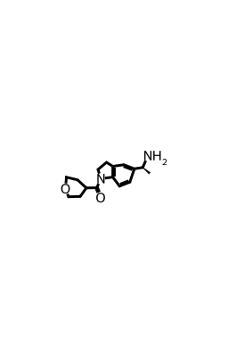 C[C@H](N)c1ccc2c(c1)CCN2C(=O)C1CCOCC1